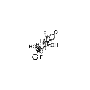 C[C@]12C=CC(=O)C=C1[C@@H](F)C[C@H]1[C@@H]3C[C@H]4O[C@@H](c5ccccc5F)O[C@@]4(C(=O)CO)[C@@]3(C)C[C@H](O)[C@@]12F